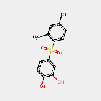 Cc1ccc(S(=O)(=O)c2ccc(O)c(O)c2)c(C)c1